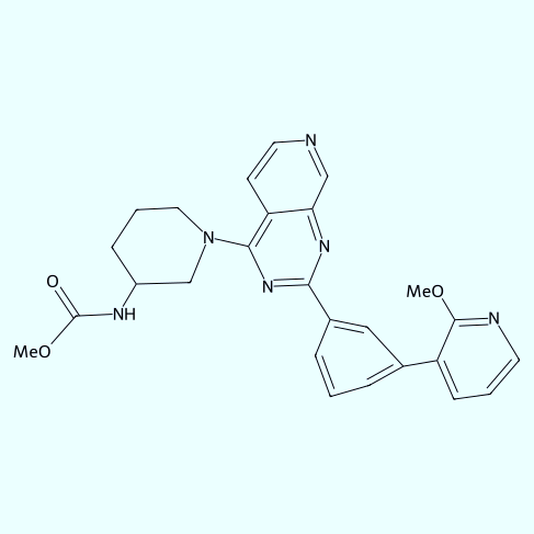 COC(=O)NC1CCCN(c2nc(-c3cccc(-c4cccnc4OC)c3)nc3cnccc23)C1